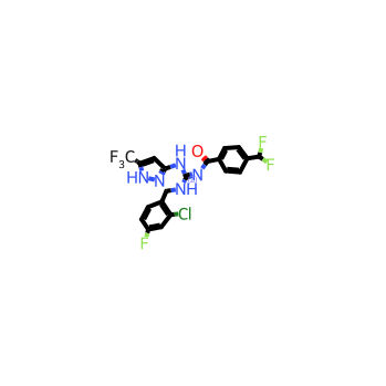 O=C(/N=C(/NCc1ccc(F)cc1Cl)Nc1cc(C(F)(F)F)[nH]n1)c1ccc(C(F)F)cc1